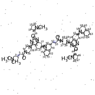 CN(C)C/C=C/C(=O)N1CCN(c2nc(OC[C@@H]3CCCN3C)nc3c2CC[C@H](N2CC(/C=C/C(=O)N4CCN(c5nc(OC[C@@H]6CCCN6C)nc6c5CC[C@@H](N5CCCc7ccccc75)C6)CC4)Cc4ccccc42)C3)CC1